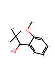 COc1ccccc1C(O)C(C)(C)C